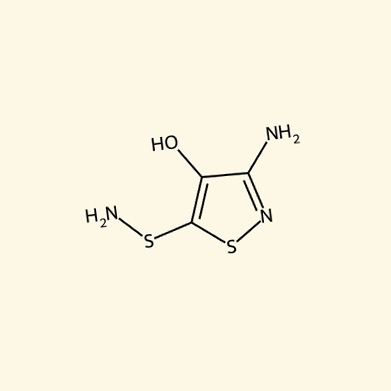 NSc1snc(N)c1O